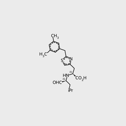 Cc1cc(C)cc(Cc2nc(C[C@H](N[C@H](C=O)CC(C)C)C(=O)O)cs2)c1